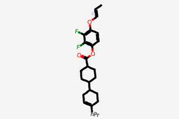 C/C=C/Oc1ccc(OC(=O)C2CCC(C3CC=C(CCC)CC3)CC2)c(F)c1F